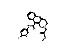 COC(=O)CN1CCc2nc3ccccc3c(C(=O)Nc3ccc(F)c(F)c3)c2C1